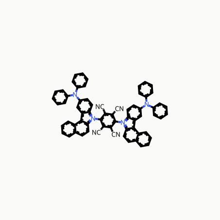 N#Cc1c(C#N)c(-n2c3ccc(N(c4ccccc4)c4ccccc4)cc3c3c4ccccc4ccc32)c(C#N)c(C#N)c1-n1c2ccc(N(c3ccccc3)c3ccccc3)cc2c2c3ccccc3ccc21